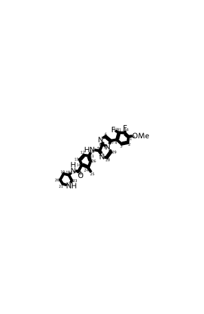 COc1ccc(-c2cnc3c(Nc4ccc(C(=O)NC5CCCNC5)c(C)c4)nccn23)c(F)c1F